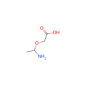 CC(N)OCC(=O)O